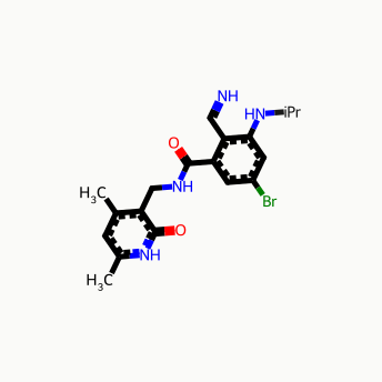 Cc1cc(C)c(CNC(=O)c2cc(Br)cc(NC(C)C)c2C=N)c(=O)[nH]1